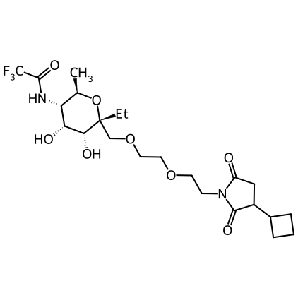 CC[C@]1(COCCOCCN2C(=O)CC(C3CCC3)C2=O)O[C@H](C)[C@@H](NC(=O)C(F)(F)F)[C@@H](O)[C@H]1O